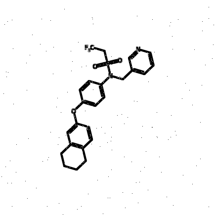 O=S(=O)(CC(F)(F)F)N(Cc1cccnc1)c1ccc(Oc2ccc3c(c2)CCCC3)cc1